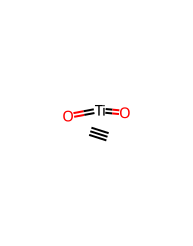 C#C.[O]=[Ti]=[O]